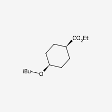 CCOC(=O)[C@H]1CC[C@@H](OC(C)CC)CC1